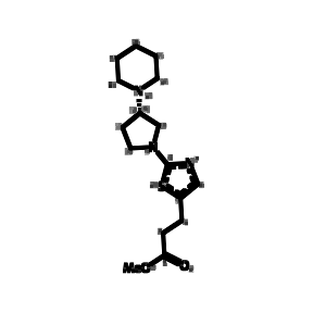 COC(=O)CCc1cnc(N2CC[C@H](N3CCCCC3)C2)s1